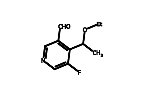 CCOC(C)c1c(F)cncc1C=O